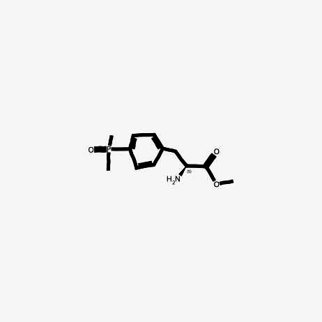 COC(=O)[C@@H](N)Cc1ccc(P(C)(C)=O)cc1